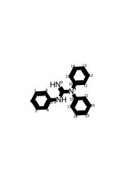 N=C(Nc1ccccc1)N(c1ccccc1)c1ccccc1